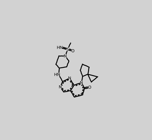 CS(=N)(=O)N1CCC(Nc2ncc3ccc(=O)n(C4CCCC45CC5)c3n2)CC1